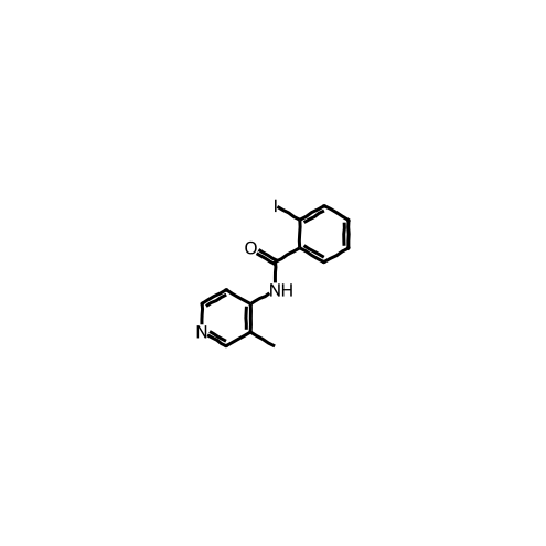 Cc1cnccc1NC(=O)c1ccccc1I